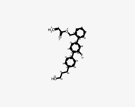 C=CC(=O)OCc1ccccc1-c1ccc(-c2ccc(CCCO)cc2)c(F)c1